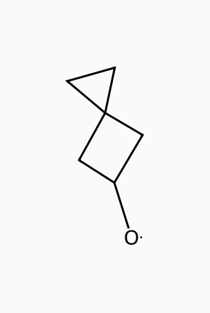 [O]C1CC2(CC2)C1